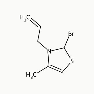 C=CCN1C(C)=CSC1Br